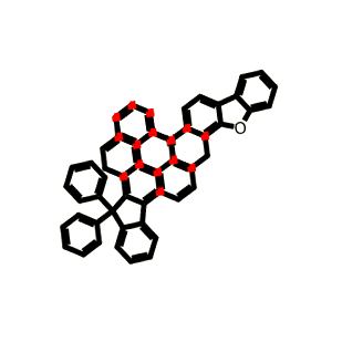 C1=c2cccc(C3CCCCC3)c2=C(c2ccccc2N(c2ccc3c(c2)oc2ccccc23)c2ccccc2-c2ccc3c(c2)C(c2ccccc2)(c2ccccc2)c2ccccc2-3)CC1